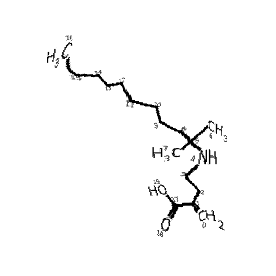 C=C(CCNC(C)(C)CCCCCCCCC)C(=O)O